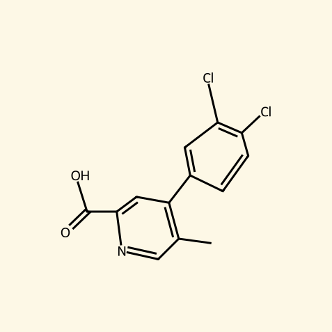 Cc1cnc(C(=O)O)cc1-c1ccc(Cl)c(Cl)c1